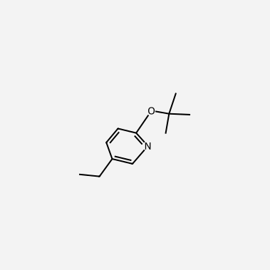 CCc1ccc(OC(C)(C)C)nc1